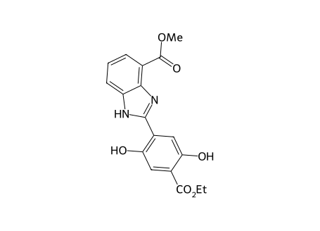 CCOC(=O)c1cc(O)c(-c2nc3c(C(=O)OC)cccc3[nH]2)cc1O